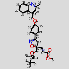 COC(=O)/C=C/C1(CO[Si](C)(C)C(C)(C)C)CC(c2ccc(OCc3cc(C)nc4ccccc34)cc2)=NO1